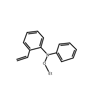 C=Cc1ccccc1N(OCC)c1ccccc1